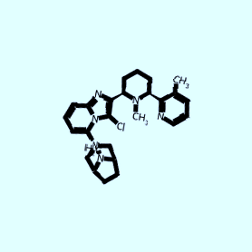 Cc1cccnc1[C@@H]1CCC[C@H](c2nc3cccc(N4CC5CCC(C4)N5C)n3c2Cl)N1C